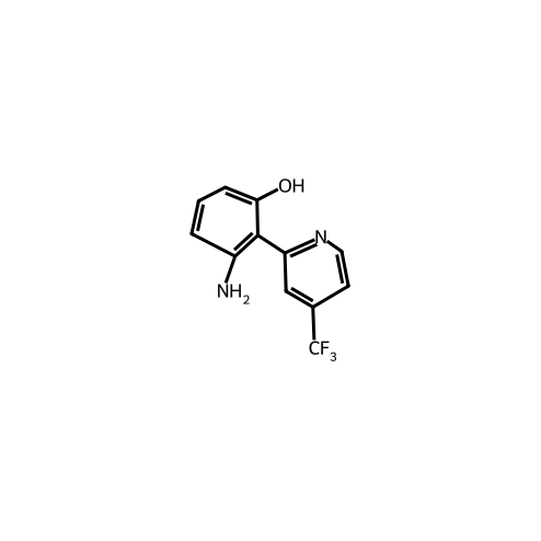 Nc1cccc(O)c1-c1cc(C(F)(F)F)ccn1